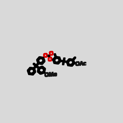 COc1ccc(C(C)(c2ccccc2)c2ccc(OC(=O)Oc3ccc(C(C)(C)c4ccc(OC(C)=O)c(C)c4)cc3C)cc2)cc1